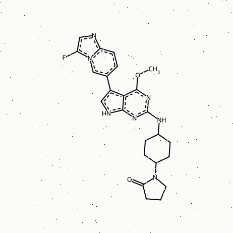 COc1nc(NC2CCC(N3CCCC3=O)CC2)nc2[nH]cc(-c3ccc4ncc(F)n4c3)c12